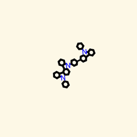 c1ccc(-n2c3ccccc3c3ccc(-c4ccc(-n5c6ccccc6c6c7c8ccccc8n(-c8ccccc8)c7ccc65)cc4)cc32)cc1